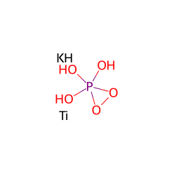 OP1(O)(O)OO1.[KH].[Ti]